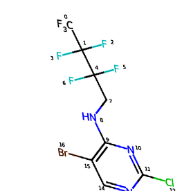 FC(F)(F)C(F)(F)C(F)(F)CNc1nc(Cl)ncc1Br